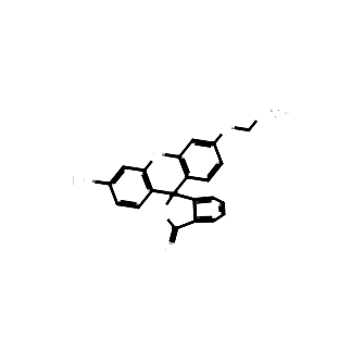 COCOc1ccc2c(c1)Oc1cc(O)ccc1C21OC(=O)c2ccccc21